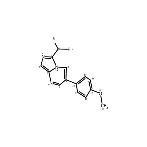 FC(F)c1ncc2ncc(-c3ccc(OC(F)(F)F)cc3)cn12